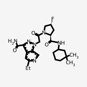 CCc1cc2c(C(N)=O)nn(CC(=O)N3C[C@H](F)C[C@H]3C(=O)NC3CCCC(C)(C)C3)c2cn1